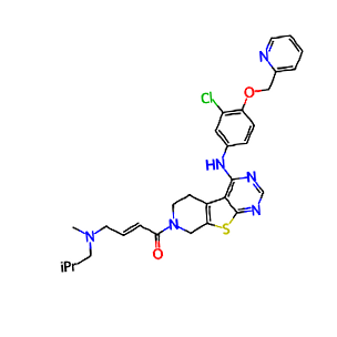 CC(C)CN(C)CC=CC(=O)N1CCc2c(sc3ncnc(Nc4ccc(OCc5ccccn5)c(Cl)c4)c23)C1